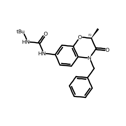 C[C@@H]1Oc2cc(NC(=O)NC(C)(C)C)ccc2N(Cc2ccccc2)C1=O